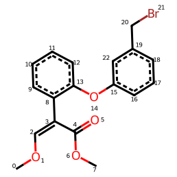 CO/C=C(\C(=O)OC)c1ccccc1Oc1cccc(CBr)c1